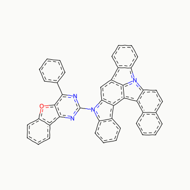 c1ccc(-c2nc(-n3c4ccccc4c4c5c6c7ccccc7ccc6n6c7ccccc7c(cc43)c56)nc3c2oc2ccccc23)cc1